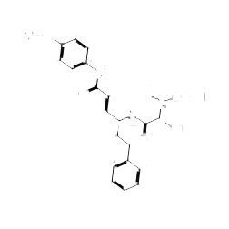 COc1ccc(NC(=O)/C=C/[C@H](CCc2ccccc2)NC(=O)[C@H](C(C)C)N(C(=O)O)C(C)(C)C)cc1